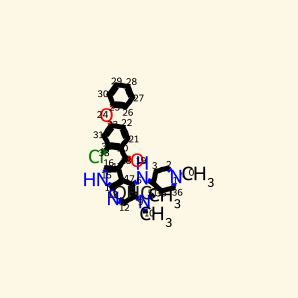 CN1CCC(C=O)(Nc2c(N(C)C)cnc3[nH]cc(C(=O)c4ccc(Oc5ccccc5)cc4Cl)c23)CC1